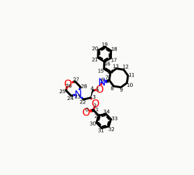 O=C(O[C@H](CO/N=C1\CCCCCC\C1=C/c1ccccc1)CN1CCOCC1)c1ccccc1